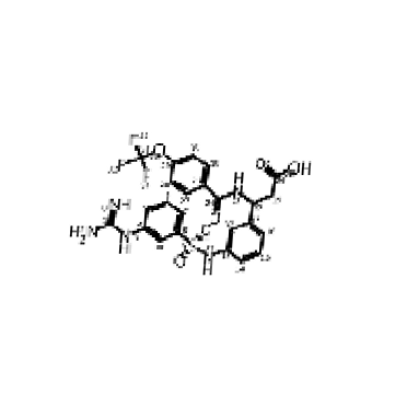 N=C(N)Nc1cccc(S(=O)(=O)Nc2cccc(C(CC(=O)O)NC(=O)c3ccc(OC(F)(F)F)cc3)c2)c1